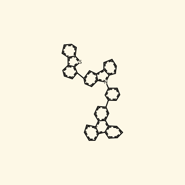 c1cc(-c2ccc3c4ccccc4c4ccccc4c3c2)cc(-n2c3ccccc3c3cc(-c4cccc5c4sc4ccccc45)ccc32)c1